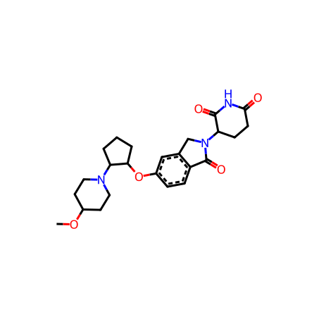 COC1CCN(C2CCCC2Oc2ccc3c(c2)CN(C2CCC(=O)NC2=O)C3=O)CC1